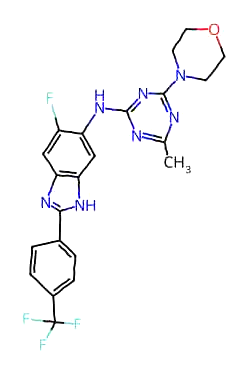 Cc1nc(Nc2cc3[nH]c(-c4ccc(C(F)(F)F)cc4)nc3cc2F)nc(N2CCOCC2)n1